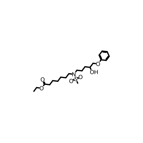 CCOC(=O)CCCCCCN(CCCC(O)COc1ccccc1)S(C)(=O)=O